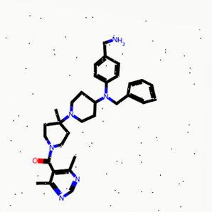 Cc1ncnc(C)c1C(=O)N1CCC(C)(N2CCC(N(Cc3ccccc3)c3ccc(CN)cc3)CC2)CC1